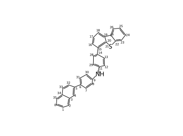 c1ccc2cc(-c3ccc(Nc4ccc(-c5cccc6c5sc5ccccc56)cc4)cc3)ccc2c1